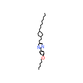 CCCCCCCCCC1CCC(CCc2cnc(-c3ccc(OCCCCCC)cc3)nc2)CC1